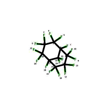 FC1(F)C(F)(F)C2(F)C(F)(F)C(F)(F)C(F)(F)C(F)(C1(F)F)C2(F)F